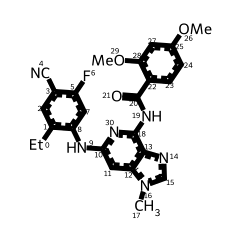 CCc1cc(C#N)c(F)cc1Nc1cc2c(ncn2C)c(NC(=O)c2ccc(OC)cc2OC)n1